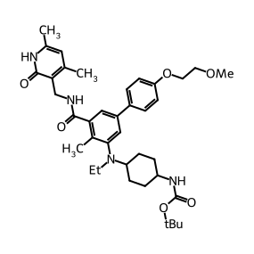 CCN(c1cc(-c2ccc(OCCOC)cc2)cc(C(=O)NCc2c(C)cc(C)[nH]c2=O)c1C)C1CCC(NC(=O)OC(C)(C)C)CC1